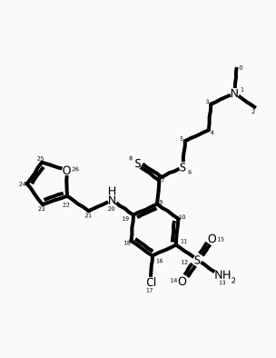 CN(C)CCCSC(=S)c1cc(S(N)(=O)=O)c(Cl)cc1NCc1ccco1